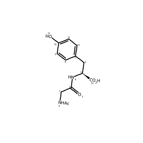 CC(=O)NCC(=O)N[C@@H](Cc1ccc(O)cc1)C(=O)O